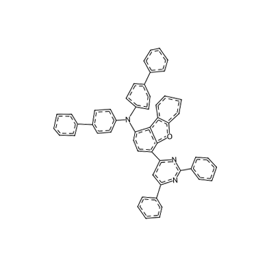 c1ccc(-c2ccc(N(c3ccc(-c4ccccc4)cc3)c3ccc(-c4cc(-c5ccccc5)nc(-c5ccccc5)n4)c4oc5ccccc5c34)cc2)cc1